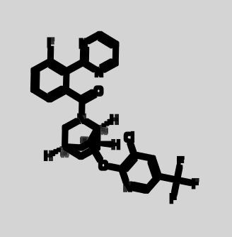 O=C(c1cccc(F)c1-c1ncccn1)N1C[C@@H]2CC[C@H]1[C@H](Oc1ncc(C(F)(F)F)cc1Cl)C2